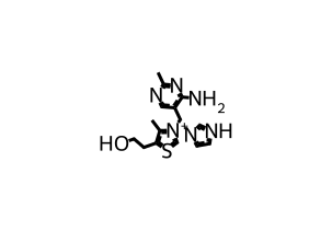 Cc1ncc(C[n+]2csc(CCO)c2C)c(N)n1.c1c[nH]cn1